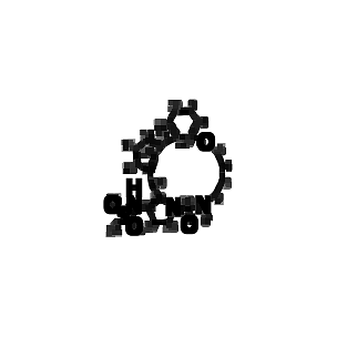 CN1CCCCOc2ccccc2-c2cccc(c2)CC2C(NS(C)(=O)=O)CCN2C1=O